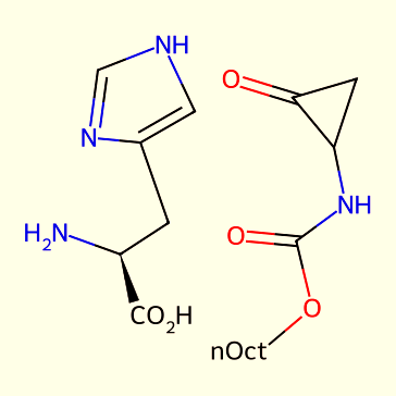 CCCCCCCCOC(=O)NC1CC1=O.N[C@@H](Cc1c[nH]cn1)C(=O)O